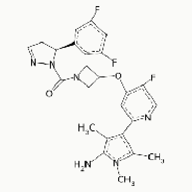 Cc1c(-c2cc(OC3CN(C(=O)N4N=CC[C@H]4c4cc(F)cc(F)c4)C3)c(F)cn2)c(C)n(C)c1N